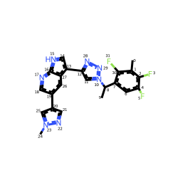 Cc1c(F)c(F)cc(C(C)n2cc(-c3c[nH]c4ncc(-c5cnn(C)c5)cc34)nn2)c1F